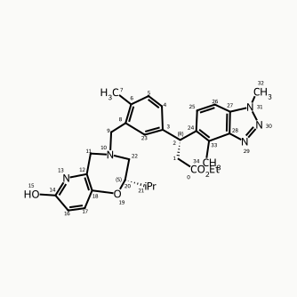 CCOC(=O)C[C@H](c1ccc(C)c(CN2Cc3nc(O)ccc3O[C@@H](C(C)C)C2)c1)c1ccc2c(nnn2C)c1C